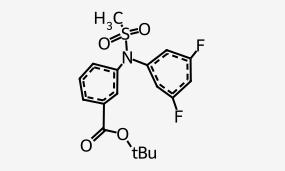 CC(C)(C)OC(=O)c1cccc(N(c2cc(F)cc(F)c2)S(C)(=O)=O)c1